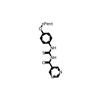 CCCCCOc1ccc(NC(=S)NC(=O)c2cncnc2)cc1